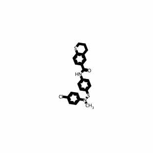 CN(Sc1ccc(NC(=O)c2ccc3c(c2)CCCS3)cc1)c1ccc(Cl)cc1